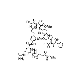 CC[C@H](C)C([C@@H](CC(=O)N1CCC[C@H]1[C@H](OC)[C@@H](C)C(=O)N[C@H](C)[C@@H](O)c1ccccc1)OC)N(C)C(=O)[C@@H](NC(=O)C(C(C)C)N(C)C(=O)OCc1ccc(NC(=O)[C@H](CCCNC(N)=O)NC(=O)C(NC(=O)CCC(=O)NCC(C)(C)C)C(C)C)cc1)C(C)C